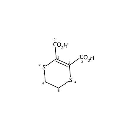 O=C(O)C1=C(C(=O)O)SCCS1